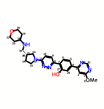 COc1cc(-c2ccc(-c3ccc(N4CC[C@H](CNC5CCOCC5)C4)nn3)c(O)c2)ncn1